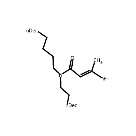 CCCCCCCCCCCCCCN(CCCCCCCCCCCC)C(=O)C=C(C)[C](C)C